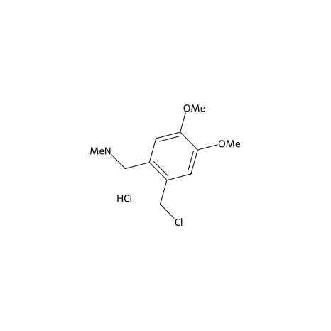 CNCc1cc(OC)c(OC)cc1CCl.Cl